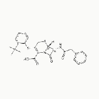 CC(C)(C)c1ccccc1SC1=C(C(=O)O)N2C(=O)[C@@H](NC(=O)Cc3ccccc3)[C@H]2SC1